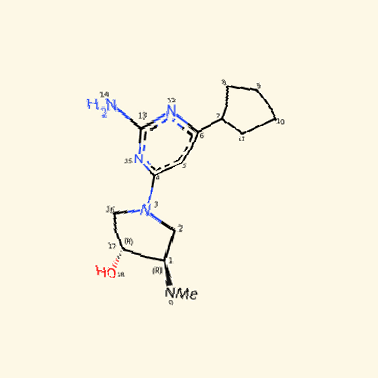 CN[C@@H]1CN(c2cc(C3CCCC3)nc(N)n2)C[C@H]1O